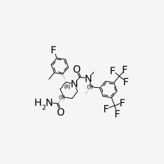 Cc1cc(F)ccc1[C@H]1C[C@@H](C(N)=O)CCN1C(=O)N(C)[C@@H](C)c1cc(C(F)(F)F)cc(C(F)(F)F)c1